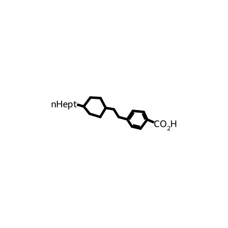 CCCCCCCC1CCC(CCc2ccc(C(=O)O)cc2)CC1